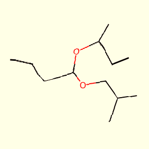 CCCC(OCC(C)C)OC(C)CC